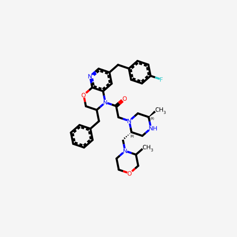 CC1COCCN1C[C@H]1CN[C@H](C)CN1CC(=O)N1c2cc(Cc3ccc(F)cc3)cnc2OCC1Cc1ccccc1